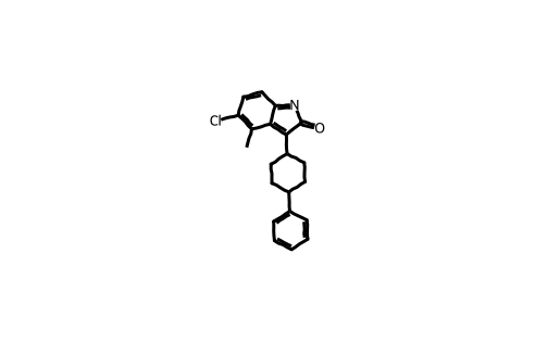 Cc1c(Cl)ccc2c1=C(C1CCC(c3ccccc3)CC1)C(=O)N=2